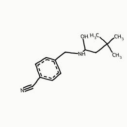 CC(C)(C)CC(O)NCc1ccc(C#N)cc1